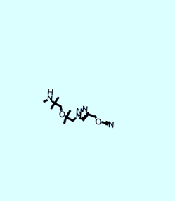 CNC(C)(C)COC(C)(C)Cn1cc(COC#N)nn1